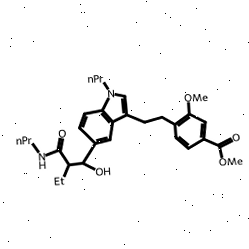 CCCNC(=O)C(CC)C(O)c1ccc2c(c1)c(CCc1ccc(C(=O)OC)cc1OC)cn2CCC